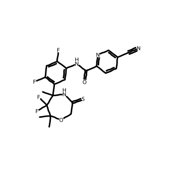 CC1(C)OCC(=S)NC(C)(c2cc(NC(=O)c3ccc(C#N)cn3)c(F)cc2F)C1(F)F